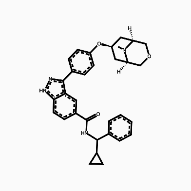 CN1[C@@H]2COC[C@H]1C[C@@H](Oc1ccc(-c3n[nH]c4ccc(C(=O)NC(c5ccccc5)C5CC5)cc34)cc1)C2